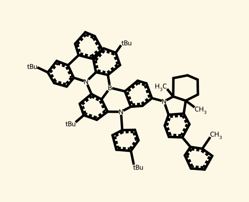 Cc1ccccc1-c1ccc2c(c1)C1(C)CCCCC1(C)N2c1ccc2c(c1)N(c1ccc(C(C)(C)C)cc1)c1cc(C(C)(C)C)cc3c1B2c1cc(C(C)(C)C)ccc1N3c1ccc(C(C)(C)C)cc1-c1ccccc1